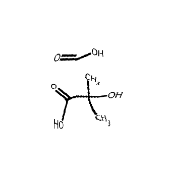 CC(C)(O)C(=O)O.O=CO